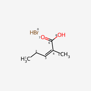 Br.CCC=C(C)C(=O)O